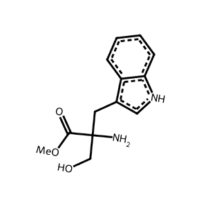 COC(=O)C(N)(CO)Cc1c[nH]c2ccccc12